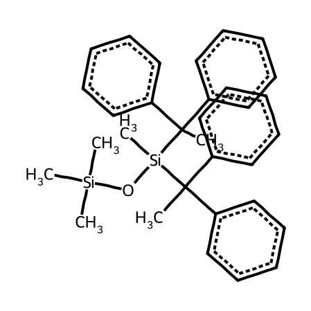 CC(c1ccccc1)(c1ccccc1)[Si](C)(O[Si](C)(C)C)C(C)(c1ccccc1)c1ccccc1